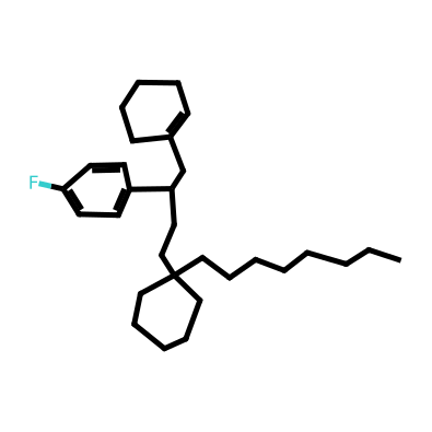 CCCCCCCCC1(CCC(CC2=CCCCC2)c2ccc(F)cc2)CCCCC1